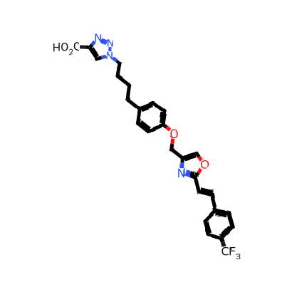 O=C(O)c1cn(CCCCc2ccc(OCc3coc(/C=C/c4ccc(C(F)(F)F)cc4)n3)cc2)nn1